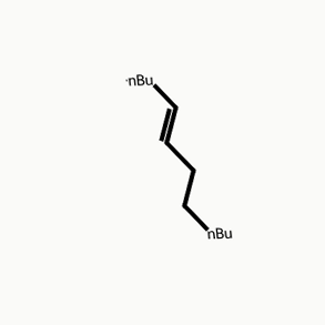 CCC[CH]C=CCCCCCC